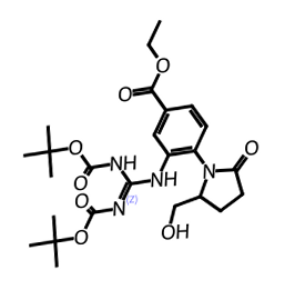 CCOC(=O)c1ccc(N2C(=O)CCC2CO)c(N/C(=N/C(=O)OC(C)(C)C)NC(=O)OC(C)(C)C)c1